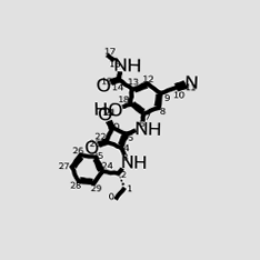 CC[C@@H](Nc1c(Nc2cc(C#N)cc(C(=O)NC)c2O)c(=O)c1=O)c1ccccc1